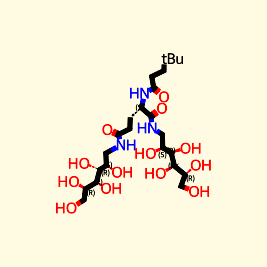 CC(C)(C)CCC(=O)N[C@@H](CCC(=O)NC[C@H](O)[C@@H](O)[C@H](O)[C@H](O)CO)C(=O)NC[C@H](O)[C@@H](O)[C@H](O)[C@H](O)CO